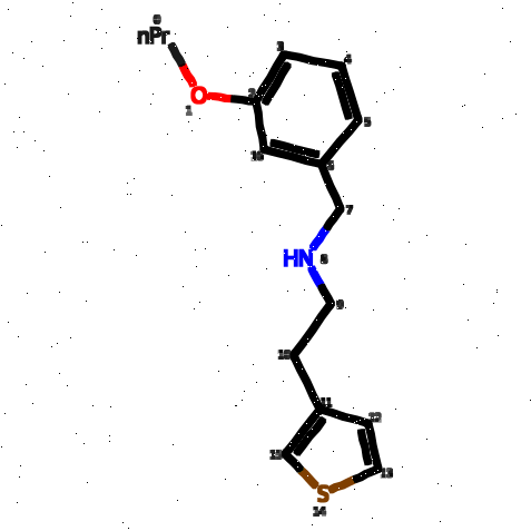 CCCOc1cccc(CNCCc2ccsc2)c1